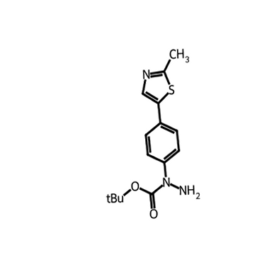 Cc1ncc(-c2ccc(N(N)C(=O)OC(C)(C)C)cc2)s1